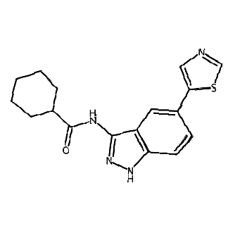 O=C(Nc1n[nH]c2ccc(-c3cncs3)cc12)C1CCCCC1